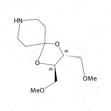 COC[C@H]1OC2(CCNCC2)O[C@@H]1COC